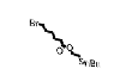 CCCCSCCOC(=O)CCCCCBr